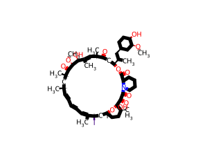 CO[C@@H]1C[C@@H](CC(C)[C@@H]2CC(=O)[C@H](C)/C=C(\C)[C@@H](O)[C@@H](OC)C(=O)[C@H](C)C[C@H](C)/C=C/C=C/C=C(/C)[C@H](I)C[C@@H]3CC[C@@H](C)[C@@](O)(O3)C(=O)C(=O)N3CCCCC3C(=O)O2)CC[C@H]1O